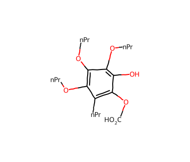 CCCOc1c(O)c(OC(=O)O)c(CCC)c(OCCC)c1OCCC